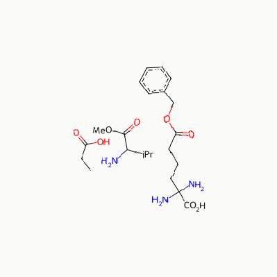 CCC(=O)O.COC(=O)C(N)C(C)C.NC(N)(CCCC(=O)OCc1ccccc1)C(=O)O